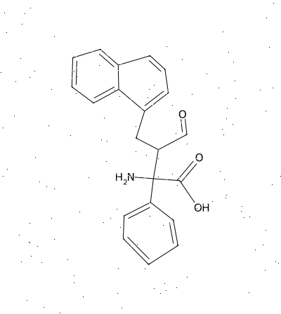 NC(C(=O)O)(c1ccccc1)C(C=O)Cc1cccc2ccccc12